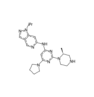 CC(C)n1ncc2cnc(Nc3cc(N4CCCC4)nc(N4CCNC[C@@H]4C)n3)cc21